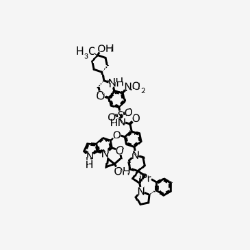 CC(C)c1ccccc1[C@@H]1CCCN1C1CC2(CCN(c3ccc(C(=O)NS(=O)(=O)c4cc5c(c([N+](=O)[O-])c4)N[C@@H]([C@H]4CC[C@](C)(O)CC4)CO5)c(Oc4cc5cc[nH]c5nc4OCC4(O)CC4)c3)CC2)C1